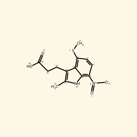 CSc1ccc([N+](=O)[O-])c2[nH]c(C)c(CCC(=O)O)c12